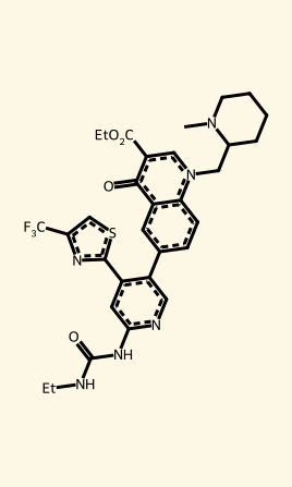 CCNC(=O)Nc1cc(-c2nc(C(F)(F)F)cs2)c(-c2ccc3c(c2)c(=O)c(C(=O)OCC)cn3CC2CCCCN2C)cn1